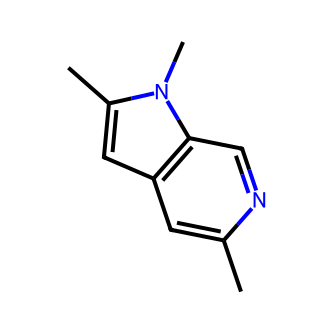 Cc1cc2cc(C)n(C)c2cn1